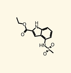 CCOC(=O)c1cc2c(NS(C)(=O)=O)cccc2[nH]1